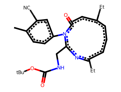 CCc1cccc(CC)nc(CNC(=O)OC(C)(C)C)n(-c2ccc(C)c(C#N)c2)c(=O)c1